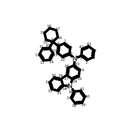 c1ccc(N(c2ccc(C3(c4ccccc4)CCCCC3)cc2)c2ccc3c(c2)c2ccccc2n3-c2ccccc2)cc1